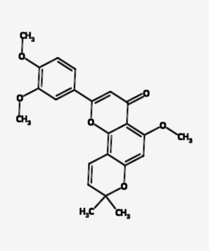 COc1ccc(-c2cc(=O)c3c(OC)cc4c(c3o2)C=CC(C)(C)O4)cc1OC